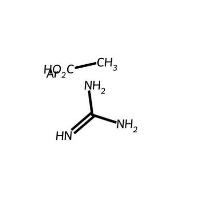 CC(=O)O.N=C(N)N.[Ar]